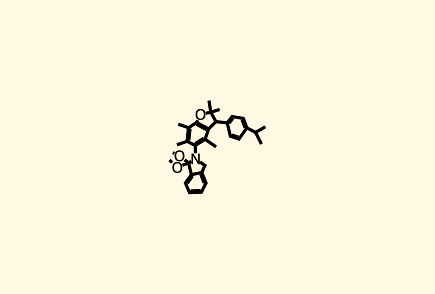 COC1(OC)c2ccccc2CN1c1c(C)c(C)c2c(c1C)C(c1ccc(C(C)C)cc1)C(C)(C)O2